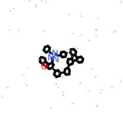 c1ccc(-c2nc(-c3ccccc3)nc(-c3cc(-c4cccc(-c5cccc(-c6ccc7c8ccccc8c8ccccc8c7c6)c5)c4)cc4oc5ccccc5c34)n2)cc1